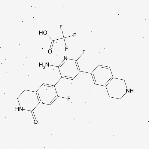 Nc1nc(F)c(-c2ccc3c(c2)CCNC3)cc1-c1cc2c(cc1F)C(=O)NCC2.O=C(O)C(F)(F)F